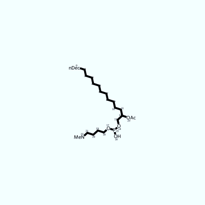 CCCCCCCCCCCCCCCCCCCCCC(COP(O)OCCCCNC)OC(C)=O